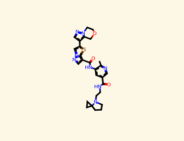 Cc1ncc(C(=O)NCCN2CCCC23CC3)cc1NC(=O)c1cnn2cc(-c3cnn4c3COCC4)sc12